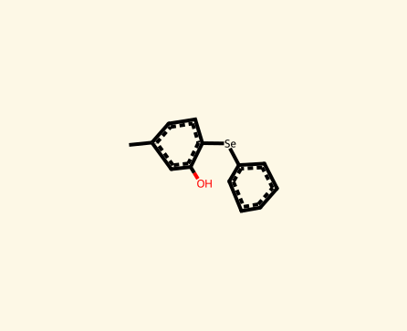 Cc1ccc([Se]c2ccccc2)c(O)c1